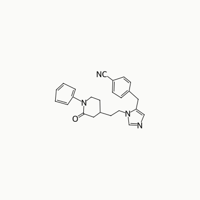 N#Cc1ccc(Cc2cncn2CCC2CCN(c3ccccc3)C(=O)C2)cc1